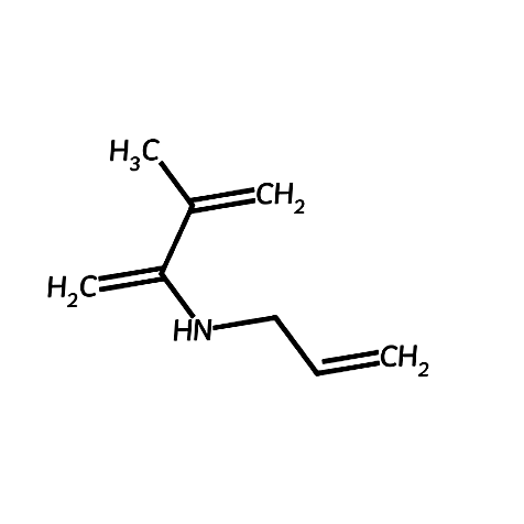 C=CCNC(=C)C(=C)C